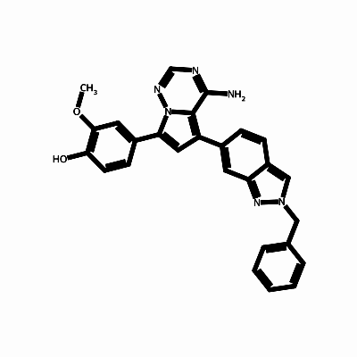 COc1cc(-c2cc(-c3ccc4cn(Cc5ccccc5)nc4c3)c3c(N)ncnn23)ccc1O